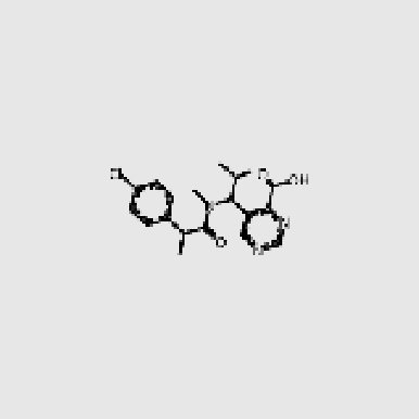 CC(C(=O)N(C)C(c1cncnc1C(=O)O)C(C)C)c1ccc(Cl)cc1